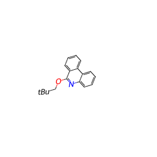 CC(C)(C)COc1nc2ccccc2c2ccccc12